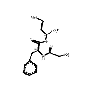 CSCC[C@H](NC(=O)[C@H](Cc1ccccc1)NC(=O)CN)C(=O)O